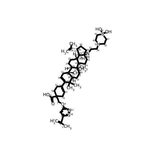 C=C(C)c1cc(OCC2(C(=O)O)CC=C(C3=CC[C@]4(C)[C@H]5CC[C@@H]6[C@H]7[C@H](C(=C)C)CC[C@]7(NCCN7CCS(O)(O)CC7)CC[C@@]6(C)[C@]5(C)CC[C@H]4C3(C)C)CC2)ns1